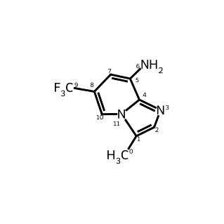 Cc1cnc2c(N)cc(C(F)(F)F)cn12